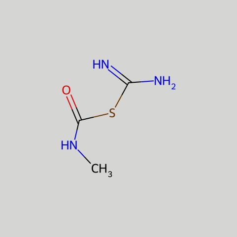 CNC(=O)SC(=N)N